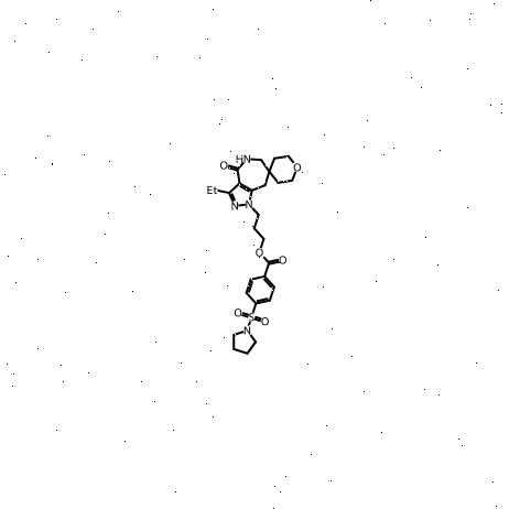 CCc1nn(CCCOC(=O)c2ccc(S(=O)(=O)N3CCCC3)cc2)c2c1C(=O)NCC1(CCOCC1)C2